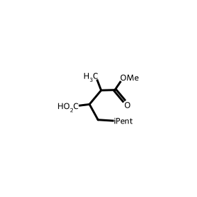 CCCC(C)CC(C(=O)O)C(C)C(=O)OC